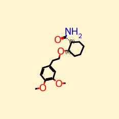 COc1ccc(CCO[C@@H]2CCCC[C@H]2C(N)=O)cc1OC